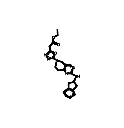 CCOC(=O)Cc1nnc(N2CCc3nc(NC4Cc5ccccc5C4)ncc3C2)o1